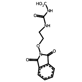 O=C(O)NC(=O)NCCON1C(=O)c2ccccc2C1=O